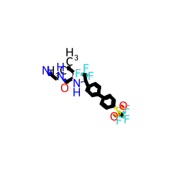 CC(C)C[C@H](N[C@@H](c1ccc(-c2ccc(S(=O)(=O)C(F)(F)F)cc2)cc1)C(F)(F)F)C(=O)NCC#N